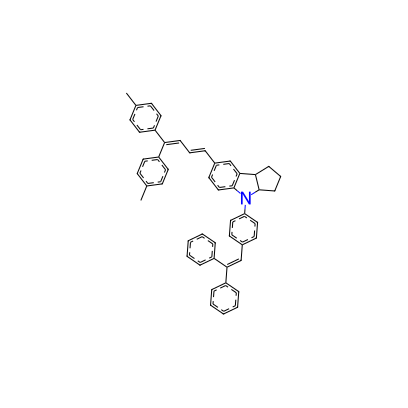 Cc1ccc(C(=C/C=C/c2ccc3c(c2)C2CCCC2N3c2ccc(C=C(c3ccccc3)c3ccccc3)cc2)c2ccc(C)cc2)cc1